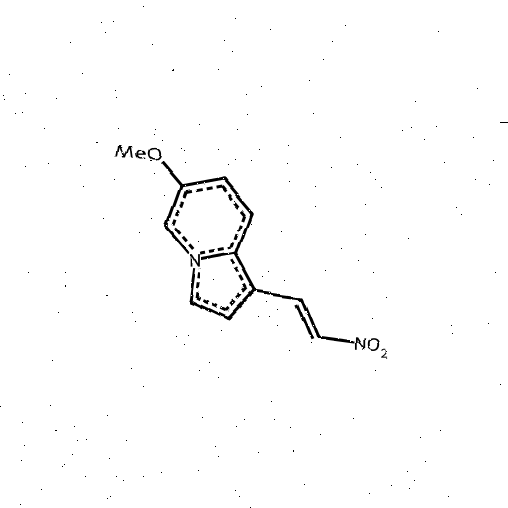 COc1ccc2c(C=C[N+](=O)[O-])ccn2c1